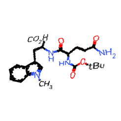 Cn1cc(CC(NC(=O)C(CCC(N)=O)NC(=O)OC(C)(C)C)C(=O)O)c2ccccc21